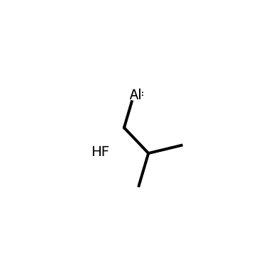 CC(C)[CH2][Al].F